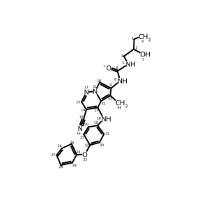 CCC(O)CNC(=O)Nc1cn2ncc(C#N)c(Nc3ccc(Oc4ccccc4)cc3)c2c1C